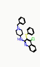 Clc1c(Sc2ccccc2)c(NC2CCN(Cc3ccccc3)CC2)nc2ccccc12